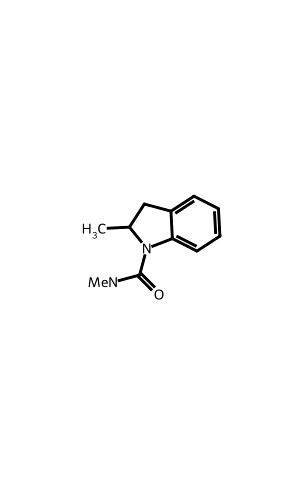 CNC(=O)N1c2ccccc2CC1C